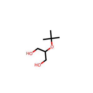 CC(C)(C)OC(CO)CO